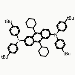 CC(C)(C)c1ccc(N(c2ccc(C(C)(C)C)cc2)c2ccc3c(C4CCCCC4)c4cc(N(c5ccc(C(C)(C)C)cc5)c5ccc(C(C)(C)C)cc5)ccc4c(C4CCCCC4)c3c2)cc1